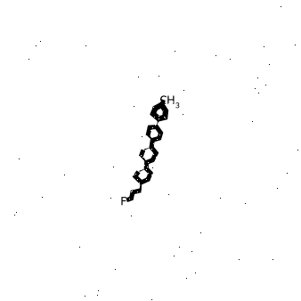 Cc1ccc([C@H]2CC[C@H]([C@H]3CC[C@H]([C@H]4CC[C@H](CCCF)CC4)CC3)CC2)cc1